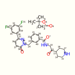 CC(C)(C)OC=O.O=C(NCC(=O)C1CCNCC1)c1cccc(Cn2nc(-c3cc(F)cc(F)c3)ccc2=O)c1